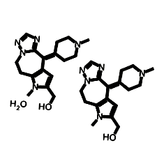 CN1CCC(=C2c3cc(CO)n(C)c3CCn3ncnc32)CC1.CN1CCC(=C2c3cc(CO)n(C)c3CCn3ncnc32)CC1.O